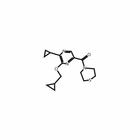 O=C(c1cnc(C2CC2)c(OCC2CC2)n1)N1CCSCC1